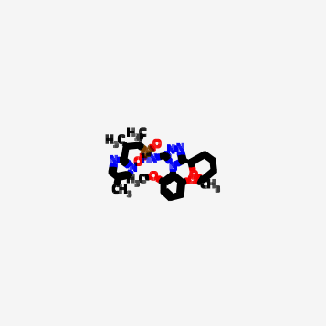 COc1cccc(OC)c1-n1c(NS(=O)(=O)[C@@H](C)[C@H](C)c2ncc(C)cn2)nnc1[C@H]1CCCCO1